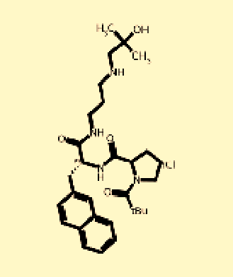 CC(C)(O)CNCCCNC(=O)[C@@H](Cc1ccc2ccccc2c1)NC(=O)C1CCCN1C(=O)C(C)(C)C.Cl